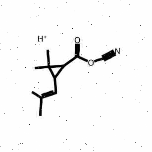 CC(C)=CC1C(C(=O)OC#N)C1(C)C.[H+]